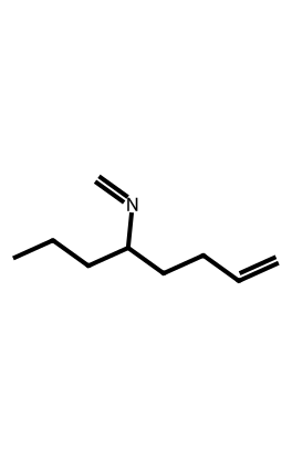 C=CCCC(CCC)N=C